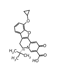 CC(C)(C)[C@@H]1Cc2c(oc3c(OC4CC4)cccc23)-c2cc(=O)c(C(=O)O)cn21